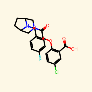 O=C(O)c1cc(Cl)ccc1OCC(=O)N1CC2CCC(C1)N2Cc1ccc(F)cc1